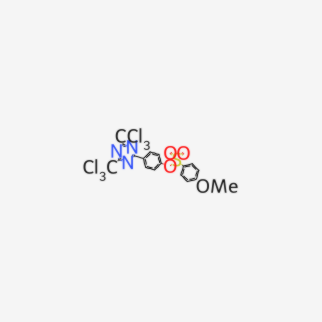 COc1ccc(S(=O)(=O)Oc2ccc(-c3nc(C(Cl)(Cl)Cl)nc(C(Cl)(Cl)Cl)n3)cc2)cc1